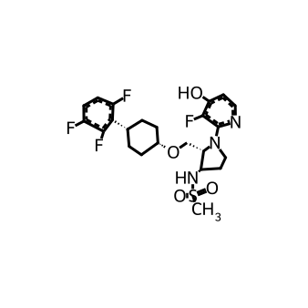 CS(=O)(=O)N[C@H]1CCN(c2nccc(O)c2F)[C@H]1CO[C@H]1CC[C@@H](c2c(F)ccc(F)c2F)CC1